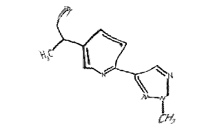 CC(C)C(C)c1ccc(-c2cnn(C)n2)nc1